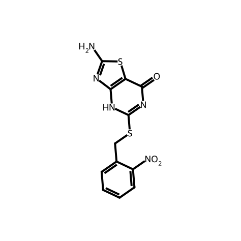 Nc1nc2[nH]c(SCc3ccccc3[N+](=O)[O-])nc(=O)c2s1